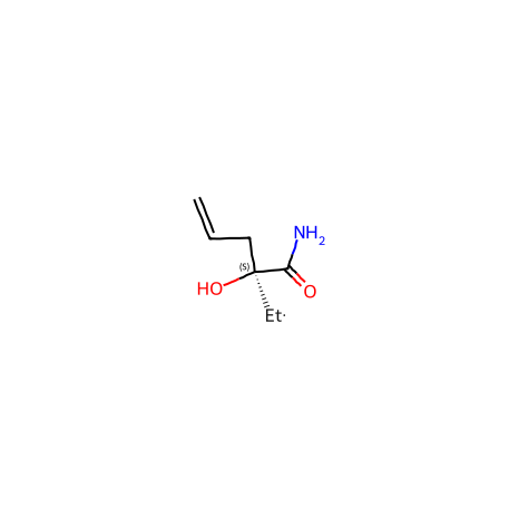 C=CC[C@@](O)([CH]C)C(N)=O